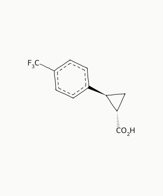 O=C(O)[C@H]1C[C@@H]1c1ccc(C(F)(F)F)cc1